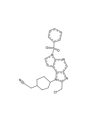 N#CCC1CCC(n2c(CCl)nc3cnc4c(ccn4S(=O)(=O)c4ccccc4)c32)CC1